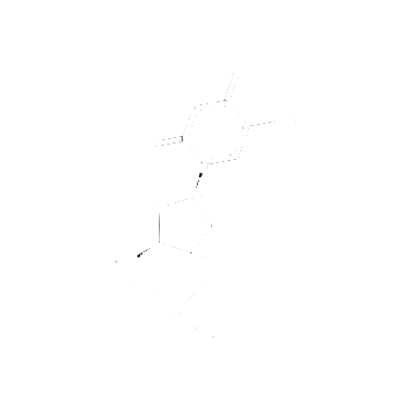 Cc1cn([C@H]2C[C@H](O[Si](C)(C)C(C)(C)C)[C@@H](C=O)O2)c(=O)[nH]c1=O